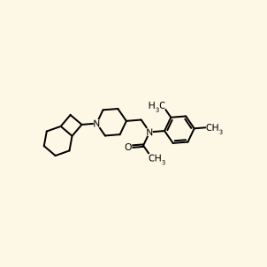 CC(=O)N(CC1CCN(C2CC3CCCCC32)CC1)c1ccc(C)cc1C